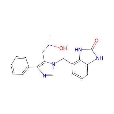 CC(O)Cc1c(-c2ccccc2)ncn1Cc1cccc2[nH]c(=O)[nH]c12